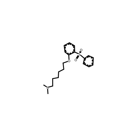 CN(C)CCCCCCOc1ccccc1S(=O)(=O)c1ccccc1